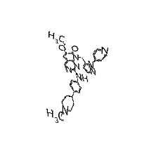 CCOc1cc2cnc(Nc3ccc(C4CCN(C)CC4)cc3)nc2n(Cc2ccnn2-c2ccncc2)c1=O